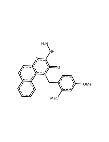 COc1ccc(Cn2c(=O)c(NN)nc3ccc4ccccc4c32)c(OC)c1